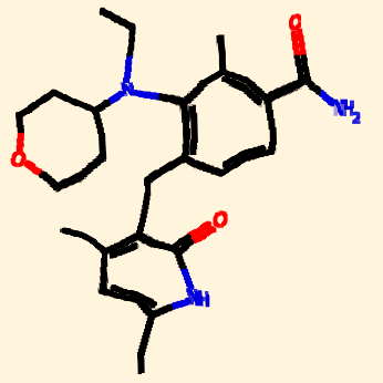 CCN(c1c(Cc2c(C)cc(C)[nH]c2=O)ccc(C(N)=O)c1C)C1CCOCC1